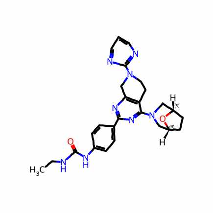 CCNC(=O)Nc1ccc(-c2nc3c(c(N4C[C@H]5CC[C@@H](C4)O5)n2)CCN(c2ncccn2)C3)cc1